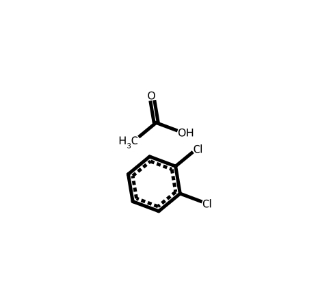 CC(=O)O.Clc1ccccc1Cl